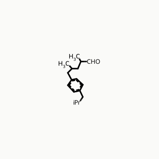 CC(C)Cc1ccc(CC(C)CC(C)C=O)cc1